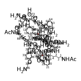 CC(=O)NCCCCC(NC(=O)C1(NC(=O)C(Cc2ccc3ccccc3c2)NC(=O)C(Cc2ccc(OCCN)cc2)NC(=O)C2NC(=O)C(CCC(N)=O)NC(=O)C(Cc3c[nH]c4ccccc34)NC(=O)C(C(C)O)NC(=O)C(CC(N)=O)NC(=O)C(NC(C)=O)C(C)(C)SSC2(C)C)CCOCC1)C(=O)NC(CC(N)=O)C(=O)NC(CC(N)=O)C(=O)NNC1CCC(C2CCCCC[C@H]2C)CC1